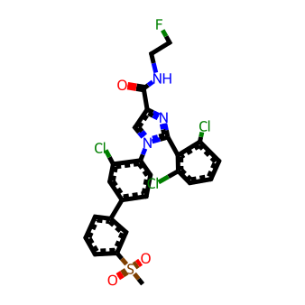 CS(=O)(=O)c1cccc(-c2ccc(-n3cc(C(=O)NCCF)nc3-c3c(Cl)cccc3Cl)c(Cl)c2)c1